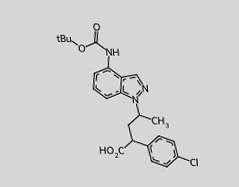 CC(CC(C(=O)O)c1ccc(Cl)cc1)n1ncc2c(NC(=O)OC(C)(C)C)cccc21